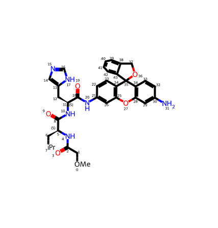 COCC(=O)N[C@@H](CC(C)C)C(=O)N[C@@H](Cc1cnc[nH]1)C(=O)Nc1ccc2c(c1)Oc1cc(N)ccc1C21OCc2ccccc21